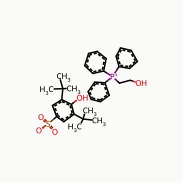 CC(C)(C)c1cc(S(=O)(=O)[O-])cc(C(C)(C)C)c1O.OCC[P+](c1ccccc1)(c1ccccc1)c1ccccc1